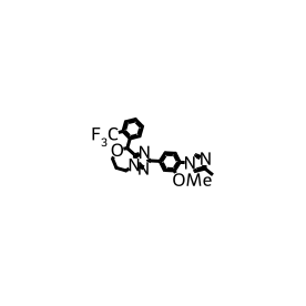 COc1cc(-c2nc3n(n2)CCCOC3c2ccccc2C(F)(F)F)ccc1-n1cnc(C)c1